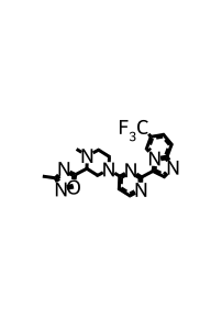 Cc1noc(C2CN(c3ccnc(-c4cnc5ccc(C(F)(F)F)cn45)n3)CCN2C)n1